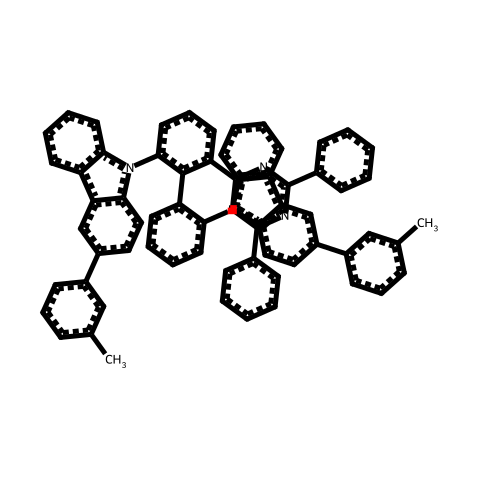 Cc1cccc(-c2ccc3c(c2)c2ccccc2n3-c2ccccc2-c2c(-c3cc(-c4ccccc4)nc(-c4ccccc4)n3)cccc2-n2c3ccccc3c3cc(-c4cccc(C)c4)ccc32)c1